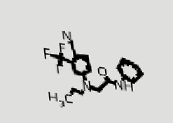 CCCN(CC(=O)Nc1ccccc1)c1ccc(C#N)c(C(F)(F)F)c1